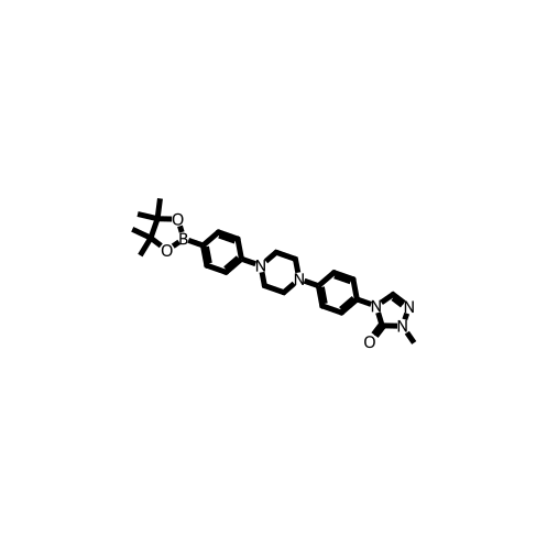 Cn1ncn(-c2ccc(N3CCN(c4ccc(B5OC(C)(C)C(C)(C)O5)cc4)CC3)cc2)c1=O